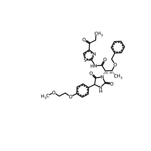 CCC(=O)c1csc(NC(=O)[C@H]([C@@H](C)OCc2ccccc2)N2C(=O)NC(c3ccc(OCCOC)cc3)C2=O)n1